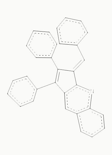 C(=C1/C(c2ccccc2)=C(c2ccccc2)c2cc3ccccc3nc21)/c1ccccc1